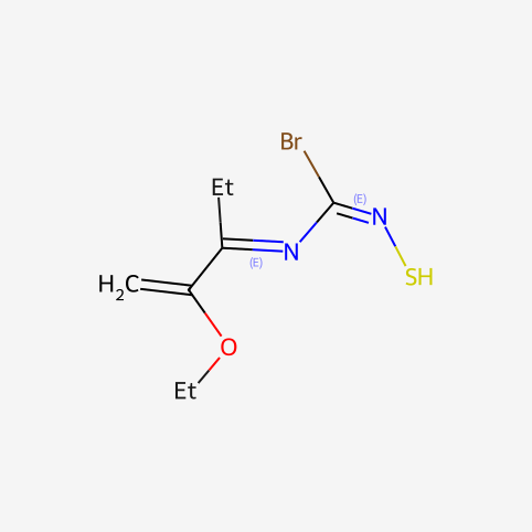 C=C(OCC)/C(CC)=N/C(Br)=N\S